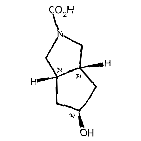 O=C(O)N1C[C@H]2C[C@H](O)C[C@H]2C1